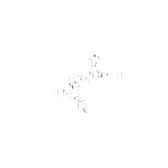 C[C@@H]1CN(CC(=O)N2CCOc3nc(C(N)=O)c(CCc4ccc(F)cc4)cc32)[C@@H](CN2[C@H](C)COC[C@H]2C)CN1C(=O)O